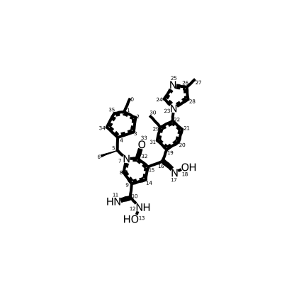 Cc1ccc([C@H](C)n2cc(C(=N)NO)cc(/C(=N/O)c3ccc(-n4cnc(C)c4)c(C)c3)c2=O)cc1